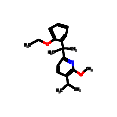 CCOc1ccccc1C(C)(C)c1ccc(C(C)C)c(OC)n1